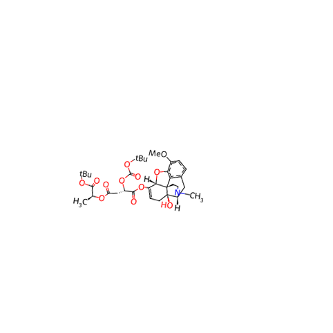 COc1ccc2c3c1O[C@H]1C(OC(=O)[C@H](CC(=O)O[C@@H](C)C(=O)OC(C)(C)C)OC(=O)OC(C)(C)C)=CC[C@@]4(O)[C@@H](C2)N(C)CC[C@]314